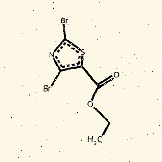 CCOC(=O)c1sc(Br)nc1Br